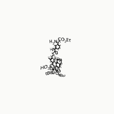 CCOC(=O)C[C@@H](N)c1cccc(NC(=O)CCCc2c(C)cc([C@H](C(=O)O)N(c3ccc4cnccc4c3)N(C(=O)OC(C)(C)C)C(=O)OC(C)(C)C)cc2C)c1